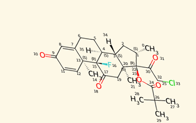 C[C@H]1C[C@H]2[C@@H]3CCC4=CC(=O)C=C[C@]4(C)[C@@]3(F)C(=O)C[C@]2(C)[C@@]1(OC(=O)C(C)(C)C)C(=O)CCl